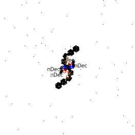 CCCCCCCCCCCCC(CCCCCCCCCC)CN1C(=O)C2=C(c3ccc(-c4ccc(-c5ccc(-c6ccccc6)cc5)s4)s3)N(CC(CCCCCCCCCC)CCCCCCCCCCCC)C(=O)C2=C1c1ccc(-c2ccc(-c3ccc(-c4ccccc4)cc3)s2)s1